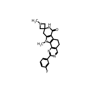 CN1CC2(Cc3c(c4c(n3C)-c3nc(-c5cccc(F)c5)ncc3CC4)C(=O)N2)C1